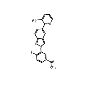 CNc1ccc(F)c(-n2cc3cc(-c4ncccc4C)cnc3n2)c1